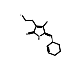 CC1=C(CCCl)C(=O)N/C1=C\[C@@H]1C=CCCC1